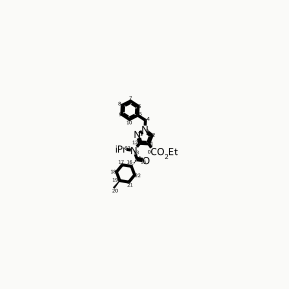 CCOC(=O)c1cn(Cc2ccccc2)nc1N(C(=O)[C@H]1CC[C@H](C)CC1)C(C)C